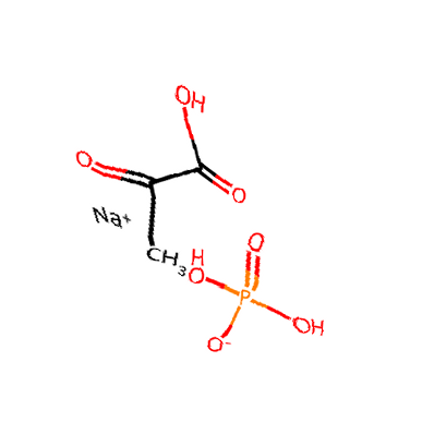 CC(=O)C(=O)O.O=P([O-])(O)O.[Na+]